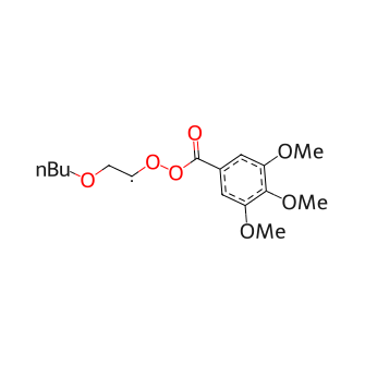 CCCCOC[CH]OOC(=O)c1cc(OC)c(OC)c(OC)c1